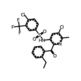 CCc1ccccc1C(=O)c1nc(C)c(Cl)cc1NS(=O)(=O)c1ccc(Cl)c(C(F)(F)F)c1